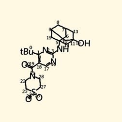 CC(C)(C)c1nc(NC23CC4CC(CC(O)(C4)C2)C3)ncc1C(=O)N1CCS(=O)(=O)CC1